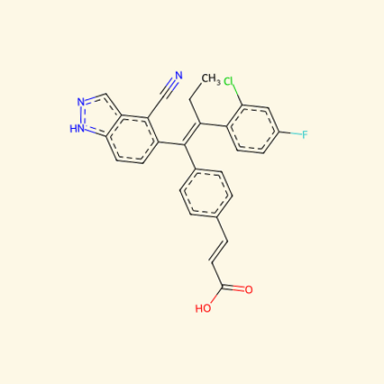 CCC(=C(c1ccc(C=CC(=O)O)cc1)c1ccc2[nH]ncc2c1C#N)c1ccc(F)cc1Cl